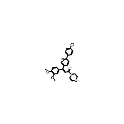 COc1ccc(C(=CC(=O)N2CCOCC2)c2ccc(-c3ccc(Cl)cc3)nc2)cc1OC